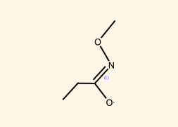 CC/C([O])=N\OC